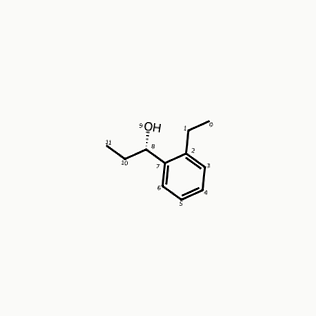 CCc1ccccc1[C@@H](O)CC